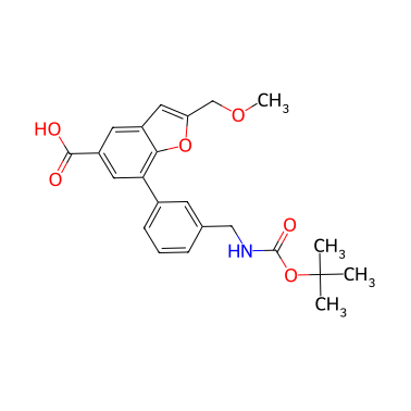 COCc1cc2cc(C(=O)O)cc(-c3cccc(CNC(=O)OC(C)(C)C)c3)c2o1